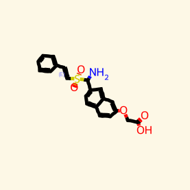 NC(c1ccc2ccc(OCC(=O)O)cc2c1)S(=O)(=O)/C=C/c1ccccc1